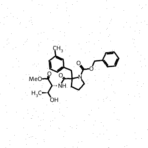 COC(=O)[C@H](NC(=O)C1(Cc2cccc(C)c2)CCCN1C(=O)OCc1ccccc1)[C@H](C)O